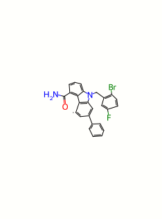 NC(=O)c1cccc2c1c1[c]cc(-c3ccccc3)cc1n2Cc1cc(F)ccc1Br